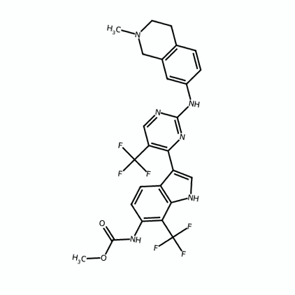 COC(=O)Nc1ccc2c(-c3nc(Nc4ccc5c(c4)CN(C)CC5)ncc3C(F)(F)F)c[nH]c2c1C(F)(F)F